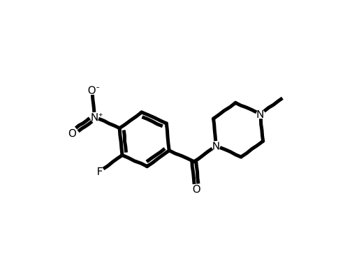 CN1CCN(C(=O)c2ccc([N+](=O)[O-])c(F)c2)CC1